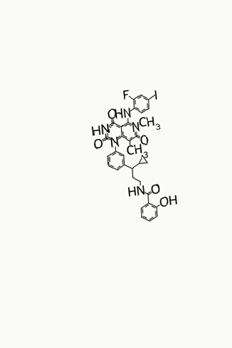 Cc1c(=O)n(C)c(Nc2ccc(I)cc2F)c2c(=O)[nH]c(=O)n(-c3cccc(C(CCNC(=O)c4ccccc4O)C4CC4)c3)c12